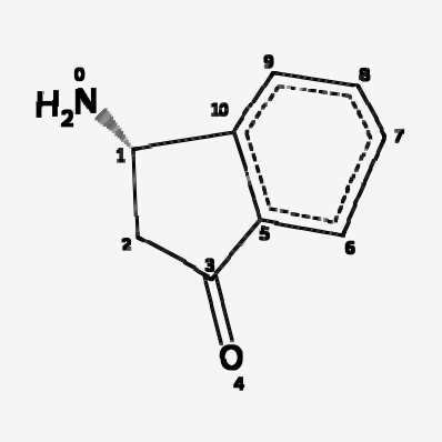 N[C@H]1CC(=O)c2ccccc21